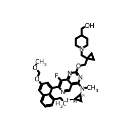 CCc1cccc2cc(OCOC)cc(-c3ncc4c(N(C)[C@@H]5C[C@H]5F)nc(OCC5(CN6CCC(CO)CC6)CC5)nc4c3F)c12